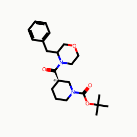 CC(C)(C)OC(=O)N1CCC[C@@H](C(=O)N2CCOCC2Cc2ccccc2)C1